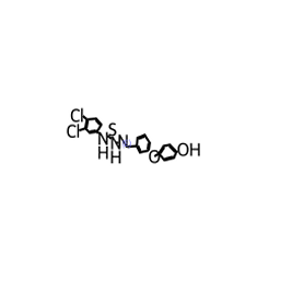 Oc1ccc(Oc2cccc(/C=N/NC(=S)Nc3ccc(Cl)c(Cl)c3)c2)cc1